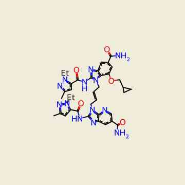 CCn1nc(C)cc1C(=O)Nc1nc2cc(C(N)=O)cnc2n1C/C=C/Cn1c(NC(=O)c2cc(C)nn2CC)nc2cc(C(N)=O)cc(OCC3CC3)c21